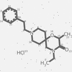 CCN1CC2(CCN(CCc3ccccc3)CC2)OC(C)C1=O.Cl